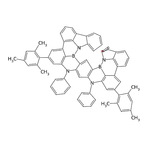 Cc1cc(C)c(-c2cc3c4c(c2)N(c2ccccc2)c2cc5c(cc2B4n2c4ccccc4c4cccc-3c42)B2c3c(cc(-c4c(C)cc(C)cc4C)cc3N5c3ccccc3)-c3cccc4c5ccccc5n2c34)c(C)c1